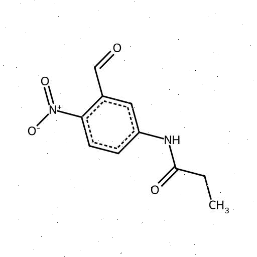 CCC(=O)Nc1ccc([N+](=O)[O-])c(C=O)c1